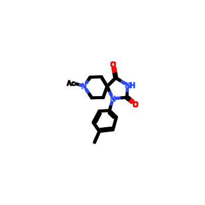 CC(=O)N1CCC2(CC1)C(=O)NC(=O)N2c1ccc(C)cc1